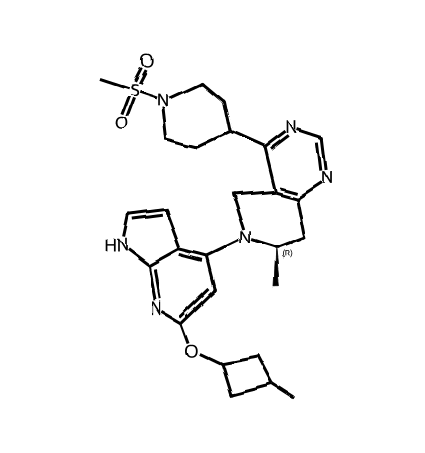 CC1CC(Oc2cc(N3Cc4c(ncnc4C4CCN(S(C)(=O)=O)CC4)C[C@H]3C)c3cc[nH]c3n2)C1